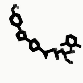 CCS/C(=N\C(=O)NC1CC1c1ccc(-c2ncn(-c3ccc(OC(F)(F)F)cc3)n2)cc1)Nc1c(C)cccc1C